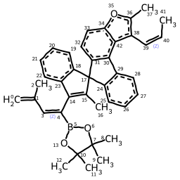 C=C(C)/C=C(/B1OC(C)(C)C(C)(C)O1)C1=C(C)C2(c3ccccc31)c1ccccc1-c1c2ccc2oc(C)c(/C=C\C)c12